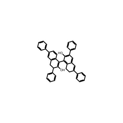 OC1=C(c2c(O)c(-c3ccccc3)cc3c2CCC(c2ccccc2)=C3)c2ccc(-c3ccccc3)cc2CC1c1ccccc1